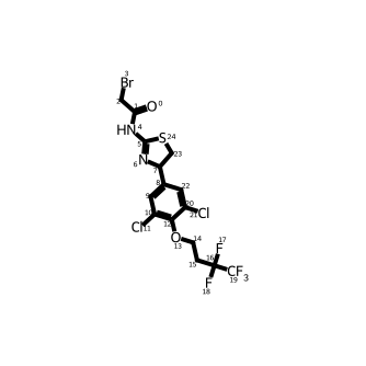 O=C(CBr)NC1=NC(c2cc(Cl)c(OCCC(F)(F)C(F)(F)F)c(Cl)c2)CS1